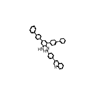 N=C1C=C(c2ccc(-c3ccccc3)cc2)C=C(C2=CC=C(C3=CC=CCC3)CC2)/C1=N/Nc1ccc(-c2cnc3ccccc3c2)cc1